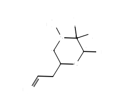 C=CCC1CN(C)C(C)(C)C(C)N1